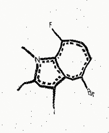 Cc1c(I)c2c(Br)ccc(F)c2n1C